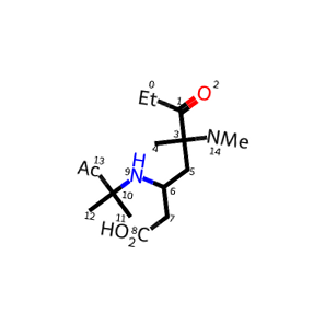 CCC(=O)C(C)(CC(CC(=O)O)NC(C)(C)C(C)=O)NC